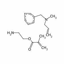 C=C(C)C(=O)OCCN.C=CCN(C)Cc1ccccc1